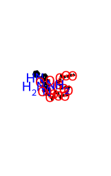 COCCOCC(C)OCC(C)OCC(C)OCC(C)OCC(C)OCC(C)OCC(C)OCC(C)OCC(C)n1c(=O)c2c(N)c3c(=O)c4cccc(Nc5ccccc5)c4c(=O)c3c(N)c2c1=O